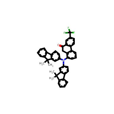 CC1(C)c2ccccc2-c2ccc(N(c3ccc4c(c3)C(C)(C)c3ccccc3-4)c3cccc4c3CC(=O)c3cc(C(F)(F)F)ccc3-4)cc21